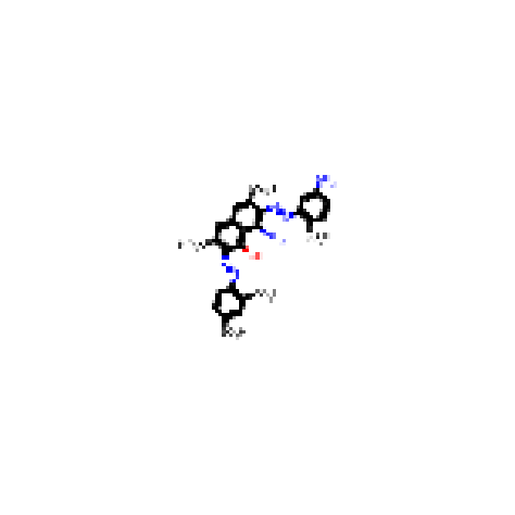 Nc1ccc(S(=O)(=O)O)c(N=Nc2c(S(=O)(=O)O)cc3cc(S(=O)(=O)O)c(N=Nc4ccc(S(=O)(=O)O)cc4S(=O)(=O)O)c(O)c3c2N)c1